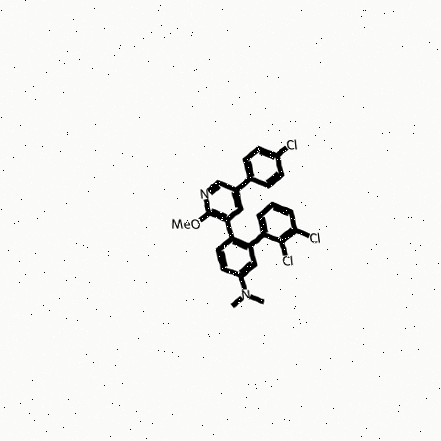 COc1ncc(-c2ccc(Cl)cc2)cc1-c1ccc(N(C)C)cc1-c1cccc(Cl)c1Cl